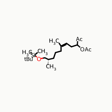 CC(=O)OC(CC=C(C)CCC[C@H](C)CO[Si](C)(C)C(C)(C)C)C(C)=O